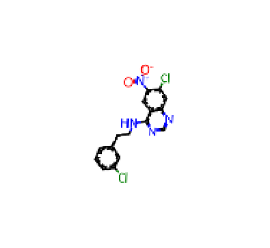 O=[N+]([O-])c1cc2c(NCCc3cccc(Cl)c3)ncnc2cc1Cl